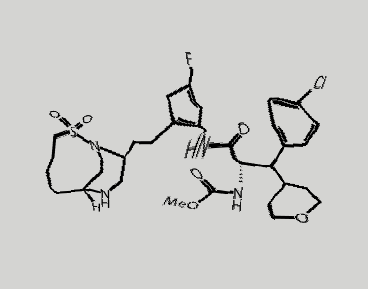 COC(=O)N[C@H](C(=O)NC1=C(CC[C@H]2CN[C@@H]3CCCS(=O)(=O)N2C3)CC(F)=C1)C(c1ccc(Cl)cc1)C1CCOCC1